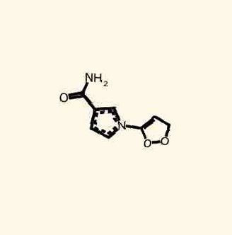 NC(=O)c1ccn(C2=CCOO2)c1